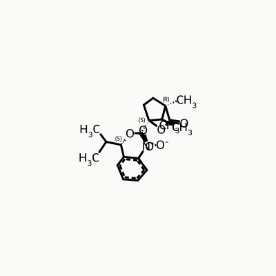 CC(C)[C@H](OC(=O)[C@@]12CC[C@@](C)(C(=O)O1)C2(C)C)c1ccccc1[N+](=O)[O-]